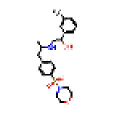 CC(Cc1ccc(S(=O)(=O)N2CCOCC2)cc1)NCC(O)c1cccc(C(F)(F)F)c1